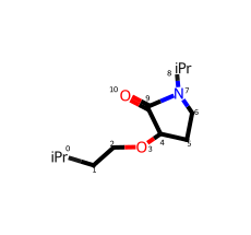 CC(C)CCOC1CCN(C(C)C)C1=O